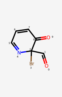 O=CC1(Br)N=CC=CC1=O